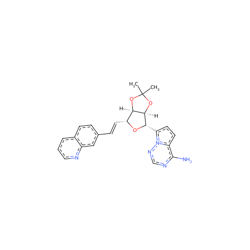 CC1(C)O[C@@H]2[C@H](O1)[C@@H](/C=C/c1ccc3cccnc3c1)O[C@H]2c1ccc2c(N)ncnn12